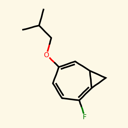 CC(C)COC1=CC2CC2=C(F)C=C1